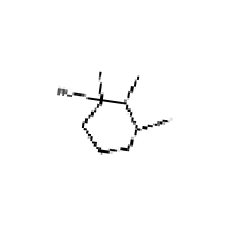 CC1CCCC(C)(C#N)C1C